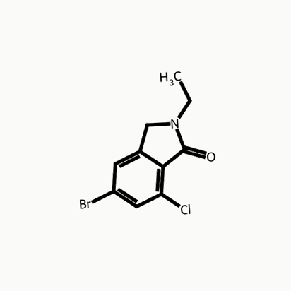 CCN1Cc2cc(Br)cc(Cl)c2C1=O